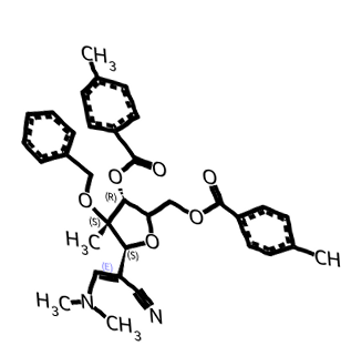 Cc1ccc(C(=O)OCC2O[C@@H](/C(C#N)=C/N(C)C)[C@](C)(OCc3ccccc3)[C@@H]2OC(=O)c2ccc(C)cc2)cc1